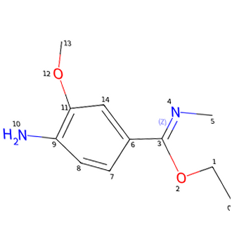 CCO/C(=N\C)c1ccc(N)c(OC)c1